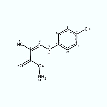 N#CC(=NNc1ccc(Cl)cc1)C(=O)ON